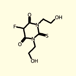 O=C1C(F)C(=O)N(CCO)C(=S)N1CCO